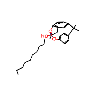 CCCCCCCCCCCCCc1cc2ccc1OP(O)Oc1ccc(cc1)C2(C)C